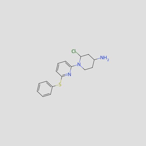 NC1CCN(c2cccc(Sc3ccccc3)n2)C(Cl)C1